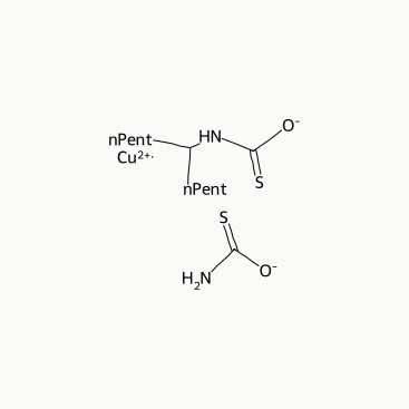 CCCCCC(CCCCC)NC([O-])=S.NC([O-])=S.[Cu+2]